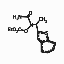 CCOC(=O)ON(C(N)=O)C(C)c1cc2ccccc2s1